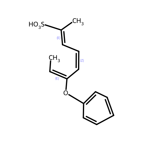 C\C=C(/C=C\C=C(/C)S(=O)(=O)O)Oc1ccccc1